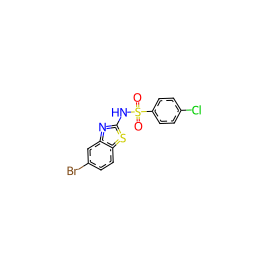 O=S(=O)(Nc1nc2cc(Br)ccc2s1)c1ccc(Cl)cc1